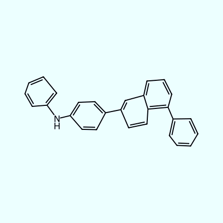 c1ccc(Nc2ccc(-c3ccc4c(-c5ccccc5)cccc4c3)cc2)cc1